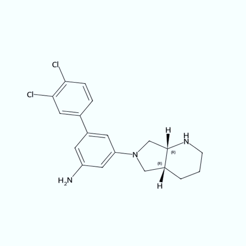 Nc1cc(-c2ccc(Cl)c(Cl)c2)cc(N2C[C@H]3CCCN[C@H]3C2)c1